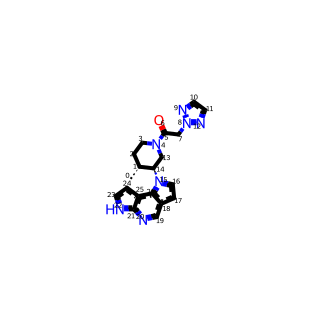 C[C@@H]1CCN(C(=O)Cn2nccn2)C[C@@H]1n1ccc2cnc3[nH]ccc3c21